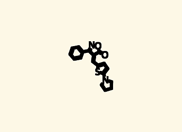 O=C1ON=C(c2ccccc2)C1=Cc1ccc(N2CCCC2)s1